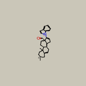 C[C@H]1CC[C@@]2(C)C(=CCC3C2CC[C@]2(C=O)C(n4ccc5ccccc54)=CCC32)C1